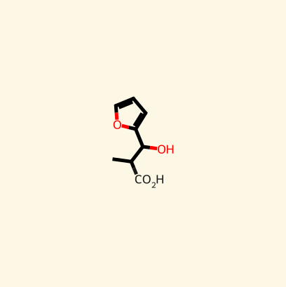 CC(C(=O)O)C(O)c1ccco1